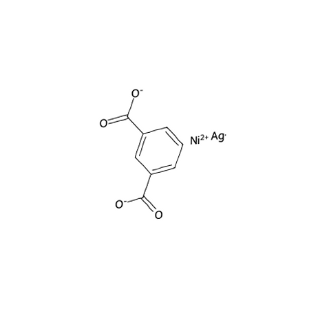 O=C([O-])c1cccc(C(=O)[O-])c1.[Ag].[Ni+2]